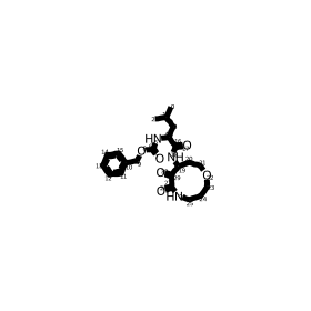 CC(C)CC(NC(=O)OCc1ccccc1)C(=O)NC1CCOCCCNC(=O)C1=O